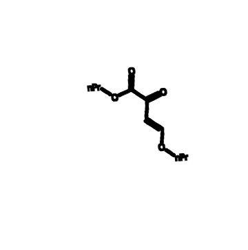 CCCOC=CC(=O)C(=O)OCCC